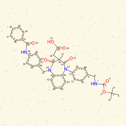 CC(C)(C)OC(=O)NCc1ccc(N2C(=O)C(C)(CC(=O)O)C(=O)N(Cc3ccc(NC(=O)c4ccccc4)cc3)c3ccccc32)cc1